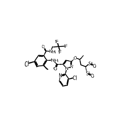 Cc1cc(Cl)cc(C(=O)NCC(F)(F)F)c1NC(=O)c1cc(OC(C)CC([S+]=O)[S+]=O)nn1-c1ncccc1Cl